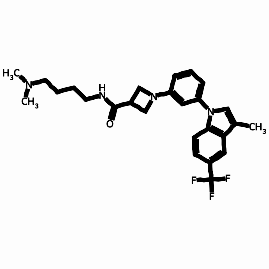 Cc1cn(-c2cccc(N3CC(C(=O)NCCCCN(C)C)C3)c2)c2ccc(C(F)(F)F)cc12